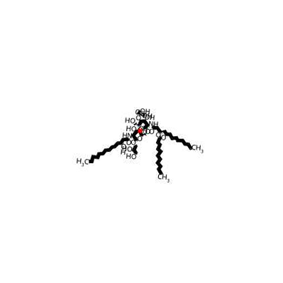 CCCCCCCCCCCC(=O)O[C@H](CCCCCCCCCCC)CC(=O)N[C@@H]1[C@H](OC[C@H]2O[C@H](OCC(O)CO)[C@@H](NC(=O)C[C@H](O)CCCCCCCCCCC)[C@@H](O)[C@@H]2O)O[C@H](CO)[C@@H](OP(=O)(O)O)[C@@H]1O